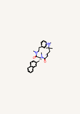 CNC(C)(C)C/C=C/C(=O)N(C)[C@H](Cc1ccc2ccccc2c1)C(=O)N(C)CCc1ccccc1